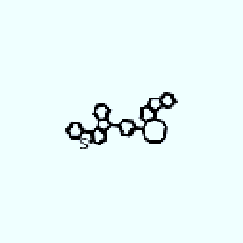 C1=C\Cc2c(ccc3c2-c2ccccc2C3)C(c2ccc(C3c4ccccc4-c4c3ccc3sc5ccccc5c43)cc2)C\C=C/1